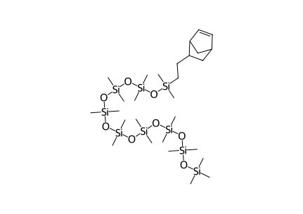 C[Si](C)(C)O[Si](C)(C)O[Si](C)(C)O[Si](C)(C)O[Si](C)(C)O[Si](C)(C)O[Si](C)(C)O[Si](C)(C)O[Si](C)(C)CCC1CC2C=CC1C2